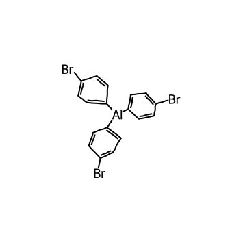 Brc1cc[c]([Al]([c]2ccc(Br)cc2)[c]2ccc(Br)cc2)cc1